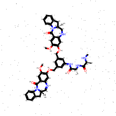 CN[C@@H](C)C(=O)N[C@H](C)C(=O)Nc1cc(COc2cc3c(cc2OC)C(=O)N2c4ccccc4C[C@H]2C=N3)cc(COc2cc3c(cc2OC)C(=O)N2c4ccccc4C[C@H]2CN3)c1